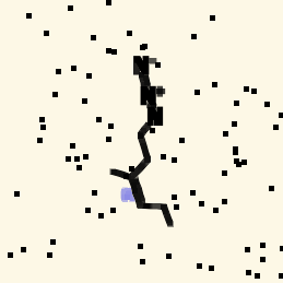 CC/C=C(/C)CCN=[N+]=[N-]